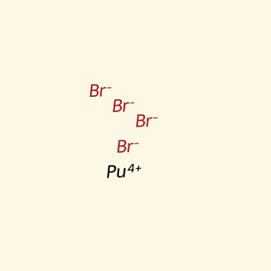 [Br-].[Br-].[Br-].[Br-].[Pu+4]